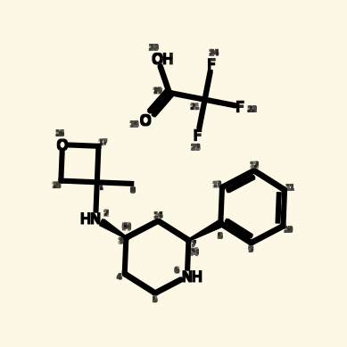 CC1(N[C@@H]2CCN[C@H](c3ccccc3)C2)COC1.O=C(O)C(F)(F)F